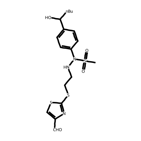 CCCCC(O)c1ccc(N(NCCSc2nc(C=O)cs2)S(C)(=O)=O)cc1